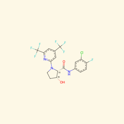 O=C(Nc1ccc(F)c(Cl)c1)[C@@H]1[C@H](O)CCN1c1cc(C(F)(F)F)cc(C(F)(F)F)n1